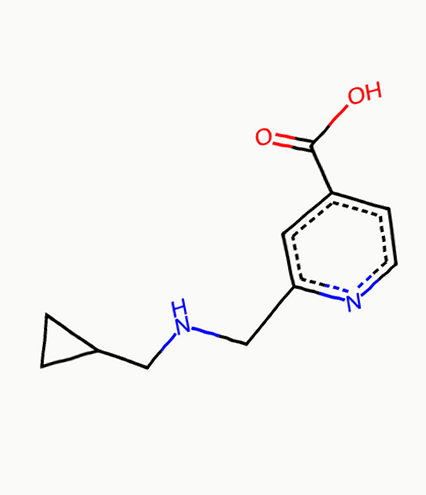 O=C(O)c1ccnc(CNCC2CC2)c1